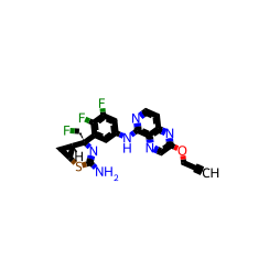 C#CCOc1cnc2c(Nc3cc(F)c(F)c([C@@]4(CF)N=C(N)SC5C[C@H]54)c3)nccc2n1